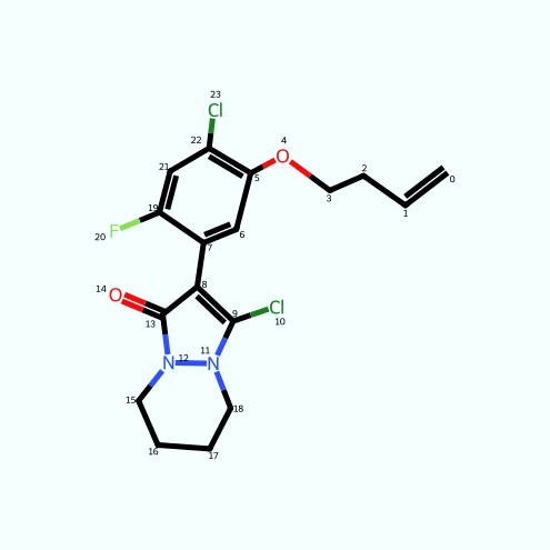 C=CCCOc1cc(-c2c(Cl)n3n(c2=O)CCCC3)c(F)cc1Cl